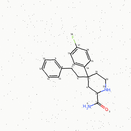 NC(=O)C1CC([CH]Cc2ccccc2)(c2ccc(F)cc2)CCN1